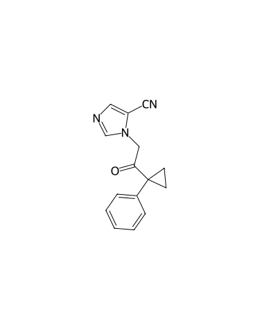 N#Cc1cncn1CC(=O)C1(c2ccccc2)CC1